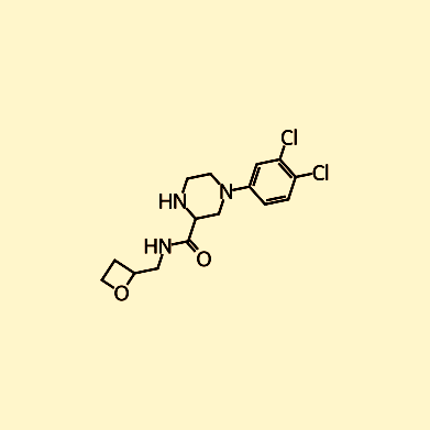 O=C(NCC1CCO1)C1CN(c2ccc(Cl)c(Cl)c2)CCN1